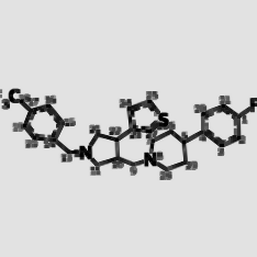 Fc1ccc(C2CCN(CC3CN(Cc4ccc(C(F)(F)F)cc4)CC3c3ccsc3)CC2)cc1